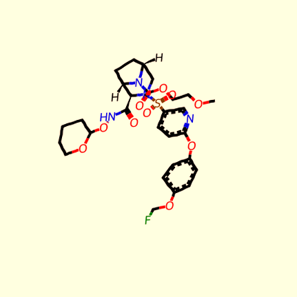 COCCOC(=O)N1[C@@H]2CC[C@H]1[C@H](C(=O)NOC1CCCCO1)N(S(=O)(=O)c1ccc(Oc3ccc(OCF)cc3)nc1)C2